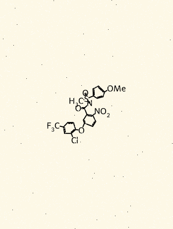 COc1ccc(S(C)(=O)=NC(=O)c2cc(Oc3ccc(C(F)(F)F)cc3Cl)ccc2[N+](=O)[O-])cc1